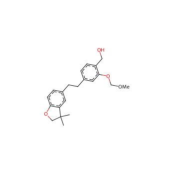 COCOc1cc(CCc2ccc3c(c2)C(C)(C)CO3)ccc1CO